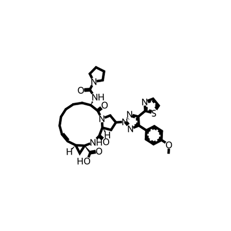 COc1ccc(-c2nn(C3C[C@H]4C(=O)N[C@]5(C(=O)O)C[C@H]5/C=C\CCCCC[C@H](NC(=O)N5CCCC5)C(=O)N4C3)nc2-c2nccs2)cc1